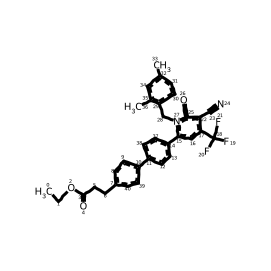 CCOC(=O)CCc1ccc(-c2ccc(-c3cc(C(F)(F)F)c(C#N)c(=O)n3Cc3ccc(C)cc3C)cc2)cc1